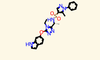 CCn1c(Oc2ccc3cc[nH]c3c2)nnc1[C@@H](C)NS(=O)(=O)c1cnn(-c2ccccc2)c1C